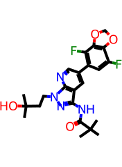 CC(C)(O)CCn1nc(NC(=O)C(C)(C)C)c2cc(-c3cc(F)c4c(c3F)OCO4)cnc21